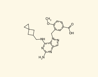 COc1ccc(C(=O)O)cc1Cn1ncc2nc(N)nc(NCC3CC4(CC4)C3)c21